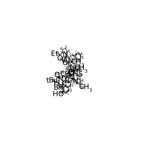 CCC(=O)C1CCCN1C(=O)[C@H](Cc1ccccc1)N(C)C(=O)[C@@H](CC(C)C)NC(=O)[C@]1(C)CSC([C@@H]2C[C@H](C)CN2C(=O)C(Cc2ccc(O)c(Br)c2)N(C)C(=O)[C@H](C)NC(=O)C(C)(C)C)=N1